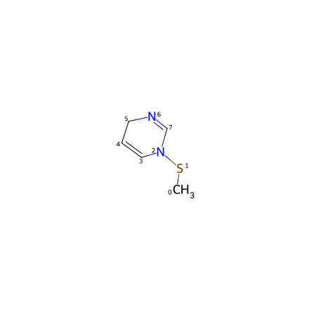 CSN1C=CCN=C1